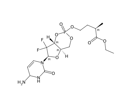 CCOC(=O)[C@H](C)CCOP1(=O)OC[C@H]2O[C@@H](N3C=CC(N)NC3=O)C(F)(F)[C@@H]2O1